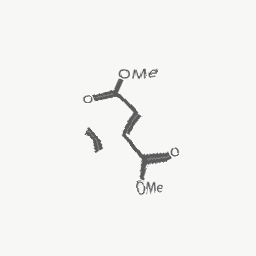 C=C.COC(=O)/C=C/C(=O)OC